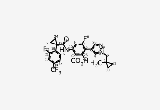 CC1(Cn2cc(-c3c(F)cc(NC(=O)C4(c5ccc(C(F)(F)F)cc5F)CC4)cc3C(=O)O)cn2)CC1